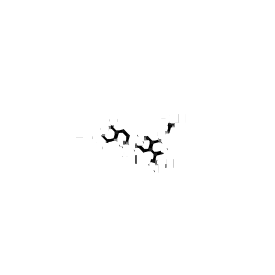 CCC(C)(N)C1=CNC(OCC(C)(F)F)c2cnc(NC3C=CC4=C(N3)[C@@H](C)[C@H](C)OC4=O)cc21